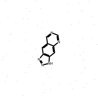 [c]1ncnc2cc3[nH]nnc3cc12